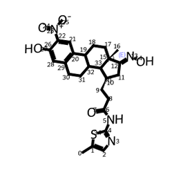 Cc1cnc(NC(=O)CC[C@@H]2C/C(=N\O)[C@@]3(C)CCC4c5cc([N+](=O)[O-])c(O)cc5CCC4C23)s1